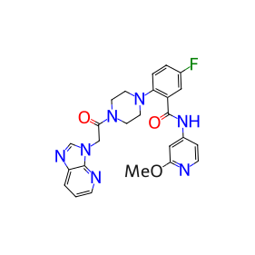 COc1cc(NC(=O)c2cc(F)ccc2N2CCN(C(=O)Cn3cnc4cccnc43)CC2)ccn1